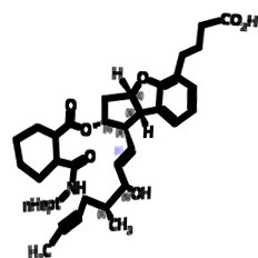 CC#CC[C@H](C)[C@H](O)/C=C/[C@@H]1[C@H]2c3cccc(CCCC(=O)O)c3O[C@H]2C[C@H]1OC(=O)C1CCCCC1C(=O)NCCCCCCC